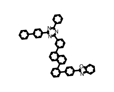 c1ccc(-c2ccc(-c3nc(-c4ccccc4)nc(-c4cccc(-c5cccc6c(-c7ccccc7-c7ccc(-c8nc9ccccc9o8)cc7)cccc56)c4)n3)cc2)cc1